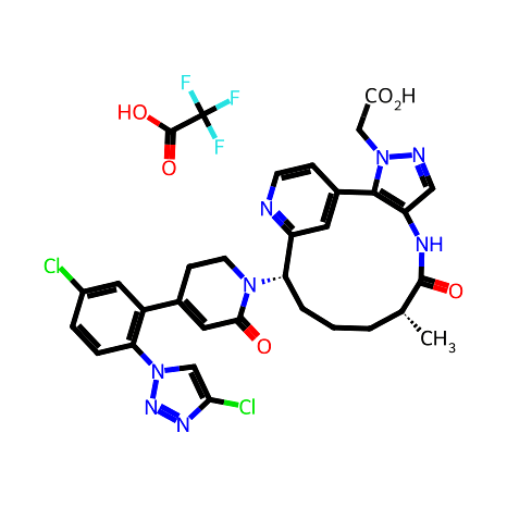 C[C@@H]1CCC[C@H](N2CCC(c3cc(Cl)ccc3-n3cc(Cl)nn3)=CC2=O)c2cc(ccn2)-c2c(cnn2CC(=O)O)NC1=O.O=C(O)C(F)(F)F